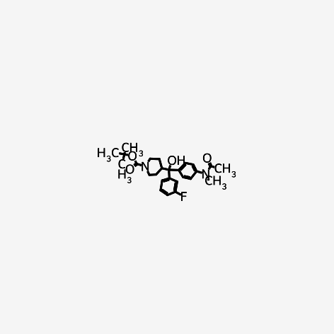 CC(=O)N(C)c1ccc(C(O)(c2cccc(F)c2)C2CCN(C(=O)OC(C)(C)C)CC2)cc1